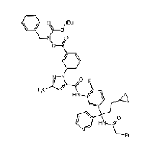 CC(C)CC(=O)NC(CCC1CC1)(c1cccnc1)c1ccc(F)c(NC(=O)c2cc(C(F)(F)F)nn2-c2cccc(C(=O)ON(Cc3ccccc3)C(=O)OC(C)(C)C)c2)c1